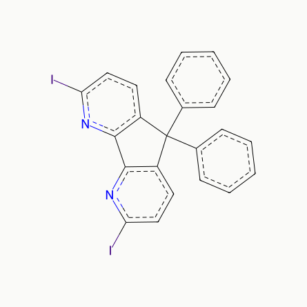 Ic1ccc2c(n1)-c1nc(I)ccc1C2(c1ccccc1)c1ccccc1